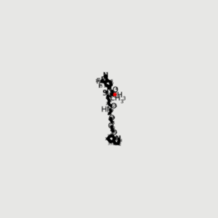 CC1(C)C(=O)N(c2ccc(C#N)c(C(F)(F)F)c2)C(=S)N1CCCC(=O)NCCOCCOCCOc1cccc2cccnc12